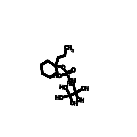 CCCC1(OP(=O)(O)O)CCCCC1.OC(O)(O)C(O)(O)O